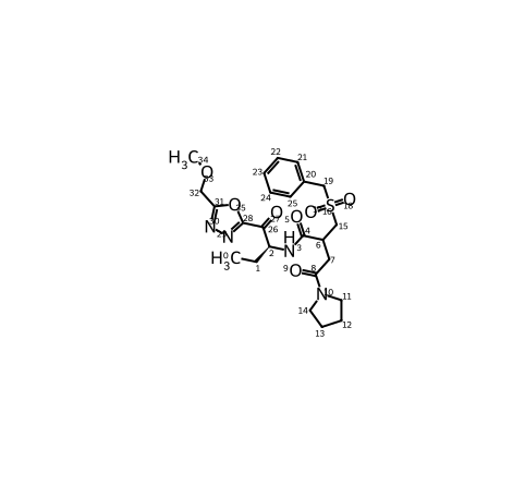 CC[C@H](NC(=O)C(CC(=O)N1CCCC1)CS(=O)(=O)Cc1ccccc1)C(=O)c1nnc(COC)o1